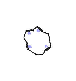 [C]1=C/C/C=C/CC/C=C/CC/C=C/1